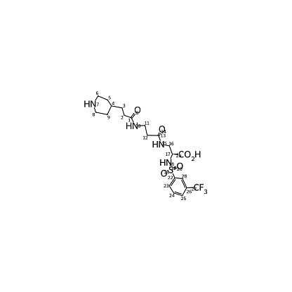 O=C(CCC1CCNCC1)NCCC(=O)NC[C@H](NS(=O)(=O)c1cccc(C(F)(F)F)c1)C(=O)O